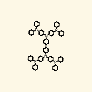 c1ccc(P(c2ccccc2)c2ccc(N(c3ccc(-c4ccc(N(c5ccc(P(c6ccccc6)c6ccccc6)cc5)c5ccc(P(c6ccccc6)c6ccccc6)cc5)cc4)cc3)c3ccc(P(c4ccccc4)c4ccccc4)cc3)cc2)cc1